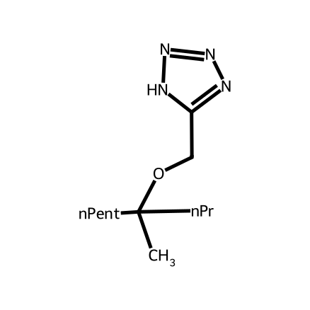 CCCCCC(C)(CCC)OCc1nnn[nH]1